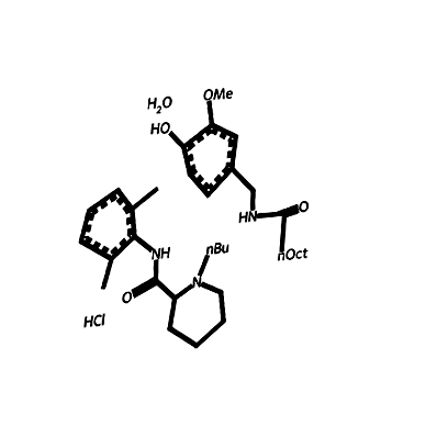 CCCCCCCCC(=O)NCc1ccc(O)c(OC)c1.CCCCN1CCCCC1C(=O)Nc1c(C)cccc1C.Cl.O